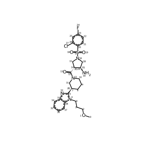 COCCCn1c([C@@H]2CCCN(C(=O)[C@@H]3CN(S(=O)(=O)c4ccc(F)cc4Cl)C[C@H]3N)C2)nc2ccccc21